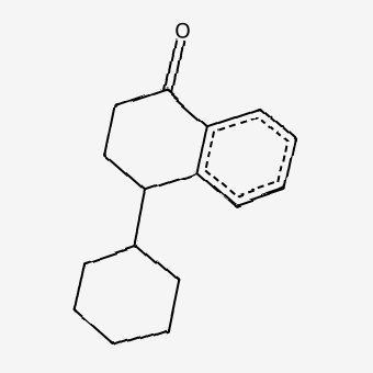 O=C1CCC(C2CCCCC2)c2ccccc21